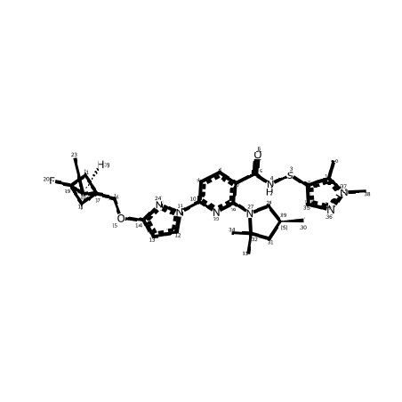 Cc1c(SNC(=O)c2ccc(-n3ccc(OCC45CC(F)(C4)[C@H]5C)n3)nc2N2C[C@@H](C)CC2(C)C)cnn1C